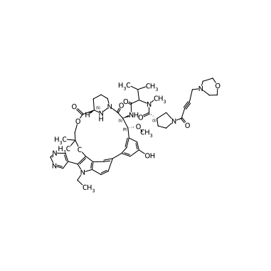 CCn1c(-c2cncnc2)c2c3cc(ccc31)-c1cc(O)cc(c1)[C@@H](OC)[C@H](NC(=O)C(C(C)C)N(C)C(=O)[C@H]1CCN(C(=O)C#CCN3CCOCC3)C1)C(=O)N1CCC[C@H](N1)C(=O)OCC(C)(C)C2